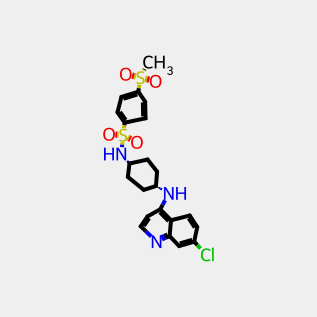 CS(=O)(=O)c1ccc(S(=O)(=O)N[C@H]2CC[C@@H](Nc3ccnc4cc(Cl)ccc34)CC2)cc1